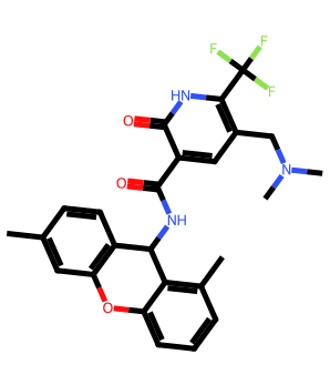 Cc1ccc2c(c1)Oc1cccc(C)c1C2NC(=O)c1cc(CN(C)C)c(C(F)(F)F)[nH]c1=O